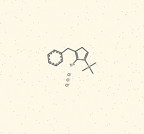 C[Si](C)(C)C1=CCC(Cc2ccccc2)=[C]1[Ti+3].[Cl-].[Cl-].[Cl-]